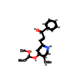 CCOC(OC)Oc1cc(C=CC(=O)c2ccccc2)ncc1OC